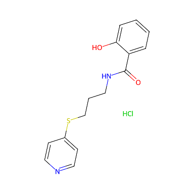 Cl.O=C(NCCCSc1ccncc1)c1ccccc1O